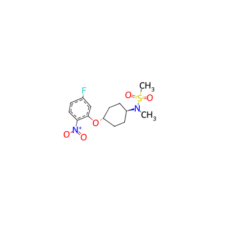 CN([C@H]1CC[C@H](Oc2cc(F)ccc2[N+](=O)[O-])CC1)S(C)(=O)=O